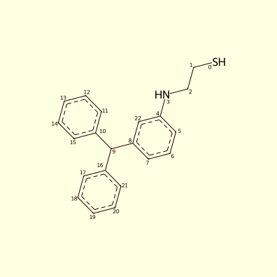 SCCNc1cccc(C(c2ccccc2)c2ccccc2)c1